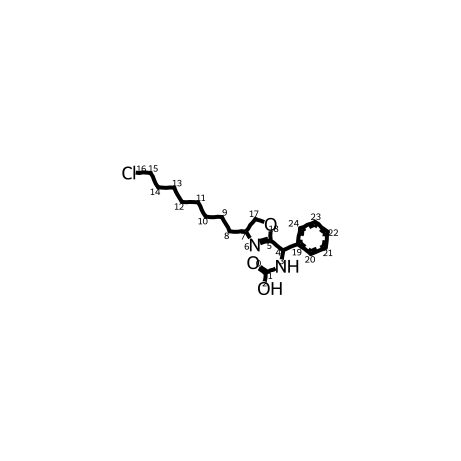 O=C(O)NC(C1=NC(CCCCCCCCCl)CO1)c1ccccc1